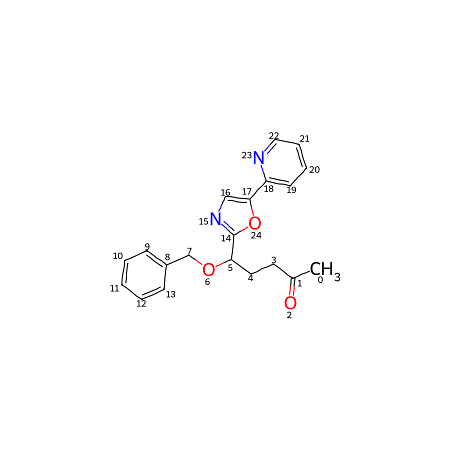 CC(=O)CCC(OCc1ccccc1)c1ncc(-c2ccccn2)o1